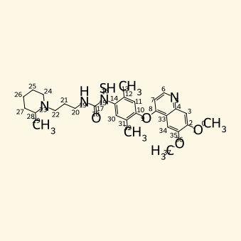 COc1cc2nccc(Oc3cc(C)c(N(S)C(=O)NCCCN4CCCCC4C)cc3C)c2cc1OC